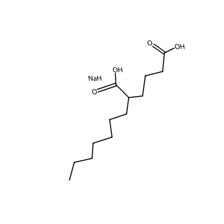 CCCCCCCC(CCCC(=O)O)C(=O)O.[NaH]